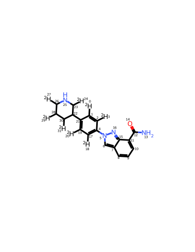 [2H]c1c([2H])c(-n2cc3cccc(C(N)=O)c3n2)c([2H])c([2H])c1C1C([2H])NC([2H])C([2H])C1[2H]